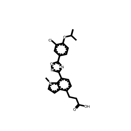 CC(C)Oc1ccc(-c2nc(-c3ccc(CCC(=O)O)c4ccn(C)c34)no2)cc1Cl